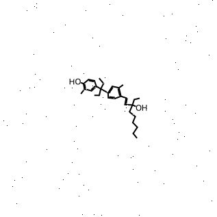 CCCCCCC(O)(C=Cc1ccc(C(CC)(CC)c2ccc(O)c(C)c2)cc1C)CC